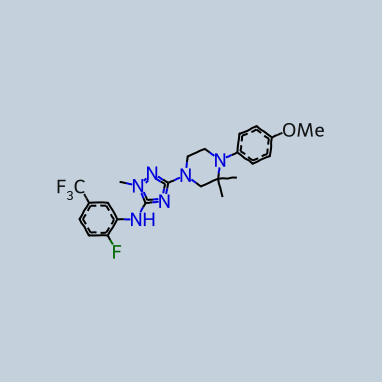 COc1ccc(N2CCN(c3nc(Nc4cc(C(F)(F)F)ccc4F)n(C)n3)CC2(C)C)cc1